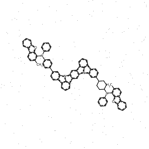 Cc1ccc2c(oc3ccccc32)c1N(c1ccccc1)c1ccc(-c2ccc3c4cccc5c6cc7c(cc6n(c3c2)c45)c2cccc3c4ccc(C5CCC(N(c6ccccc6)c6c(C)ccc8c6oc6ccccc68)CC5)cc4n7c32)cc1